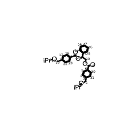 CC(C)OCc1ccc(C(=O)OCC(OC(=O)c2ccc(COC(C)C)cc2)c2ccccc2)cc1